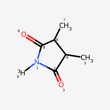 [3H]N1C(=O)C(C)C(C)C1=O